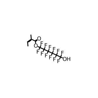 CC=C(C)C(=O)OC(F)(F)C(F)(F)C(F)(F)C(F)(F)C(F)(F)C(O)(F)F